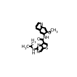 COc1cc2ncccc2cc1NC(=O)c1csc2cnc(NC(C)C)nc12